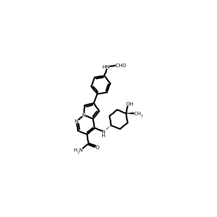 C[C@]1(O)CC[C@@H](Nc2c(C(N)=O)cnn3cc(-c4ccc(NC=O)cc4)cc23)CC1